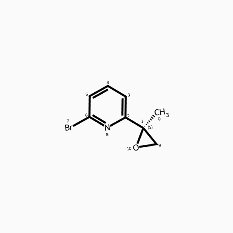 C[C@]1(c2cccc(Br)n2)CO1